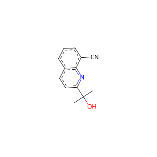 CC(C)(O)c1ccc2cccc(C#N)c2n1